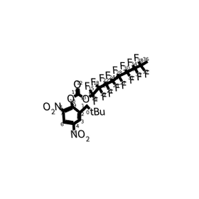 CC(C)(C)Cc1cc([N+](=O)[O-])cc([N+](=O)[O-])c1OC(=O)OC(F)(F)C(F)(F)C(F)(F)C(F)(F)C(F)(F)C(F)(F)C(F)(F)C(C)(F)F